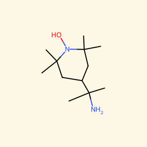 CC(C)(N)C1CC(C)(C)N(O)C(C)(C)C1